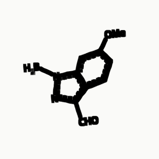 Bn1nc(C=O)c2ccc(OC)cc21